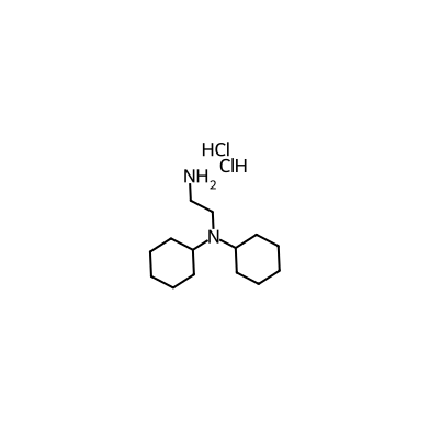 Cl.Cl.NCCN(C1CCCCC1)C1CCCCC1